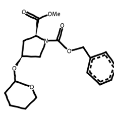 COC(=O)[C@@H]1C[C@H](OC2CCCCO2)CN1C(=O)OCc1ccccc1